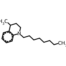 CCCCCCCCN1CCC(C)c2ccccc21